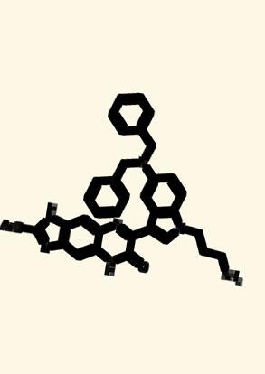 CC(=O)Oc1nc2cc3[nH]c(=O)c(-c4cn(CCCN)c5ccc(N(Cc6ccccc6)Cc6ccccc6)cc45)nc3cc2[nH]1